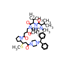 COC(CC(=O)N1CCCC1C(CC(=O)N1CCN(C(c2ccccc2)c2ccccc2)CC1)SC)CN(C)C(=O)C(NC(=O)C(C(C)C)N(C)C)C(C)C